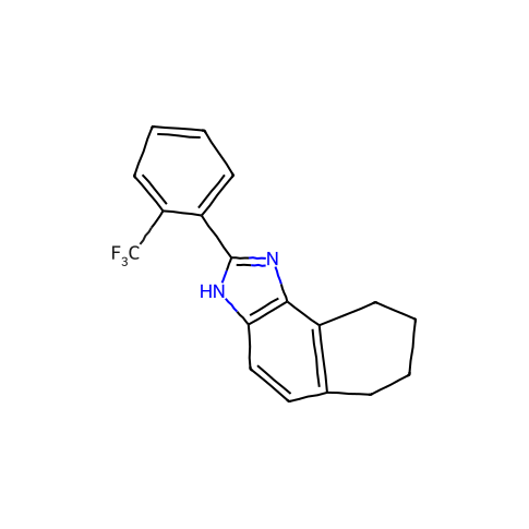 FC(F)(F)c1ccccc1-c1nc2c3c(ccc2[nH]1)CCCC3